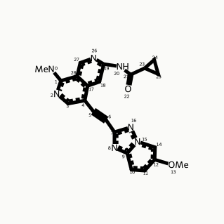 CNc1ncc(C#Cc2nc3ccc(OC)cn3n2)c2cc(NC(=O)C3CC3)ncc12